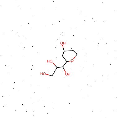 OCC(O)C(O)C1CC(O)CCO1